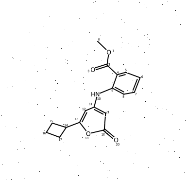 COC(=O)c1ccccc1Nc1cc(C2CCC2)oc(=O)c1